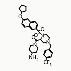 NC1CCN(C(=O)C2CN(Cc3ccc(C(F)(F)F)cc3)CCN2S(=O)(=O)c2ccc3cc(OC4CCCC4)ccc3c2)CC1